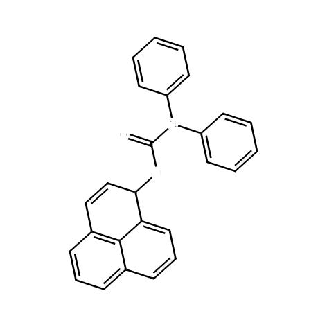 O=C(OC1C=Cc2cccc3cccc1c23)N(c1ccccc1)c1ccccc1